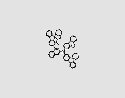 CCC1CC2CCCC(C2)C12c1ccccc1-c1ccc(-c3cc(N(c4ccc5c(c4)C4(CCCCC4)c4ccccc4-5)c4ccc5c(c4)oc4ccccc45)cc4ccccc34)cc12